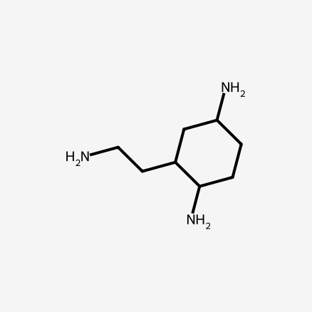 NCCC1CC(N)CCC1N